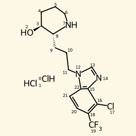 Cl.Cl.O[C@H]1CCCN[C@@H]1CCCn1cnc2c(Cl)c(C(F)(F)F)ccc21